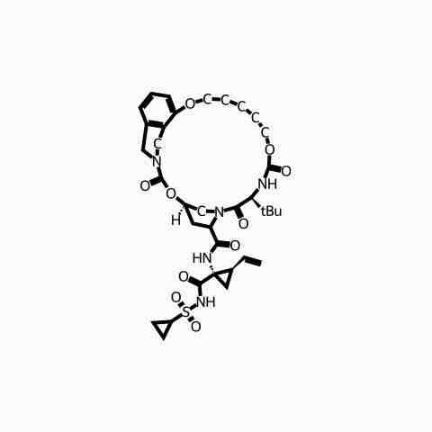 C=C[C@H]1C[C@@]1(NC(=O)C1C[C@@H]2CN1C(=O)[C@H](C(C)(C)C)NC(=O)OCCCCCOc1cccc3c1CN(C3)C(=O)O2)C(=O)NS(=O)(=O)C1CC1